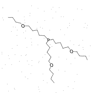 CCCCOCCCCCP(CCCCCOCCCC)CCCCCOCCCC